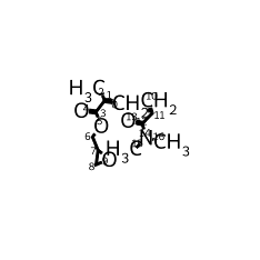 C=C(C)C(=O)OCC1CO1.C=CC(=O)N(C)C